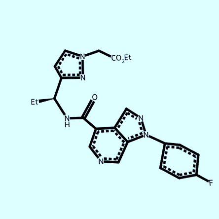 CCOC(=O)Cn1ccc([C@H](CC)NC(=O)c2cncc3c2cnn3-c2ccc(F)cc2)n1